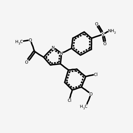 COC(=O)c1cc(-c2cc(Cl)c(OC)c(Cl)c2)n(-c2ccc(S(N)(=O)=O)cc2)n1